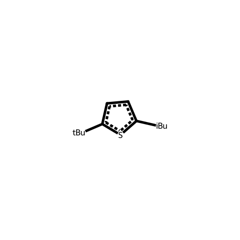 CCC(C)c1ccc(C(C)(C)C)s1